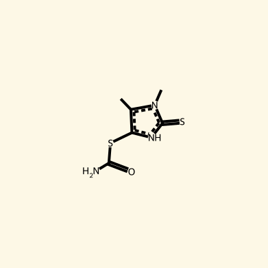 Cc1c(SC(N)=O)[nH]c(=S)n1C